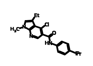 CCc1cn(C)c2ncc(C(=O)Nc3ccc(C(C)C)cc3)c(Cl)c12